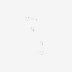 COc1ccc2c(n1)C=CC(OC)N2